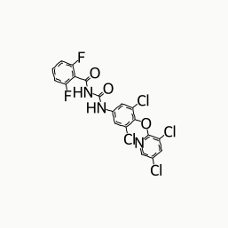 O=C(NC(=O)c1c(F)cccc1F)Nc1cc(Cl)c(Oc2ncc(Cl)cc2Cl)c(Cl)c1